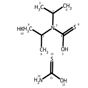 CC(C)N(C(O)=S)C(C)C.NC(O)=S.[KH]